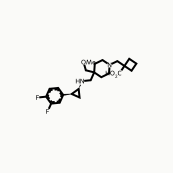 COCC1(CN[C@@H]2C[C@H]2c2ccc(F)c(F)c2)CCN(CC2(C(=O)O)CCC2)CC1